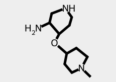 CN1CCC(OC2CCNCC2N)CC1